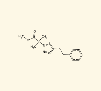 COC(=O)C(C)(C)n1ncc(SCc2ccccc2)n1